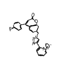 O=c1cc(-c2ccc(F)cc2)c2ccc(Cn3cc(-c4cccc[n+]4[O-])nn3)cc2o1